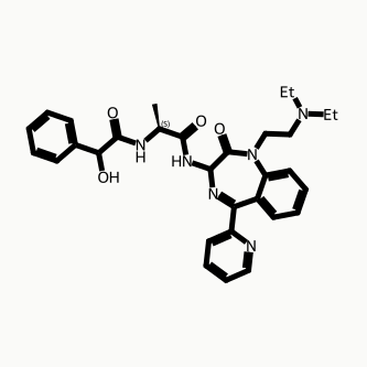 CCN(CC)CCN1C(=O)C(NC(=O)[C@H](C)NC(=O)C(O)c2ccccc2)N=C(c2ccccn2)c2ccccc21